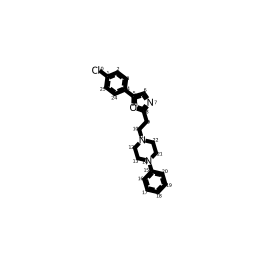 Clc1ccc(-c2cnc(CCN3CCN(c4ccccc4)CC3)o2)cc1